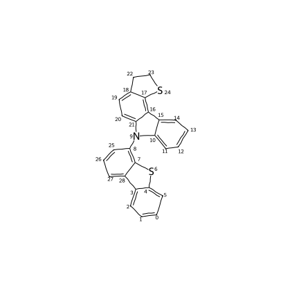 c1ccc2c(c1)sc1c(-n3c4ccccc4c4c5c(ccc43)CCS5)cccc12